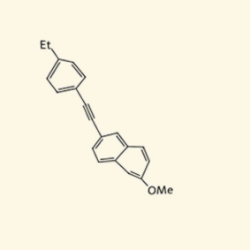 CCc1ccc(C#Cc2ccc3cc(OC)ccc3c2)cc1